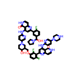 O=c1[nH]ccc2nc(-c3cc(C(O)N4CCCC4)ccc3F)cc(Nc3ccc(N4CCC(O)C(COc5ccc(F)c(-c6cc(Nc7ccc(N8CCNCC8)cn7)c7c(=O)[nH]ccc7n6)c5F)C4)cn3)c12